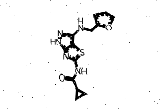 O=C(Nc1nc2[nH]nc(NCc3ccco3)c2s1)C1CC1